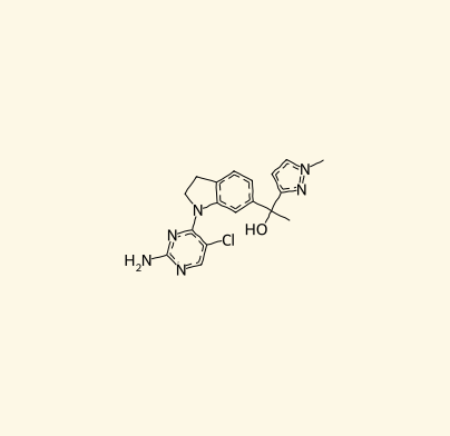 Cn1ccc(C(C)(O)c2ccc3c(c2)N(c2nc(N)ncc2Cl)CC3)n1